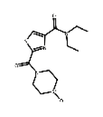 CCN(CC)C(=O)c1csc(C(=O)N2CC[S+]([O-])CC2)n1